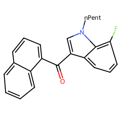 CCCCCn1cc(C(=O)c2cccc3ccccc23)c2cccc(F)c21